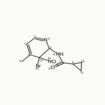 CC1=CC=NC(NC(=O)C2CC2)C1(Br)[N+](=O)[O-]